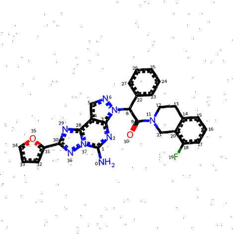 Nc1nc2c(cnn2C(C(=O)N2CCc3cccc(F)c3C2)c2ccccc2)c2nc(-c3ccco3)nn12